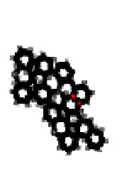 c1ccc(-c2ccccc2N(c2ccc3c(c2)C2(c4ccccc4Oc4ccccc42)c2cc4ccccc4cc2-3)c2cccc3c2-c2ccccc2C32c3ccccc3Oc3ccccc32)cc1